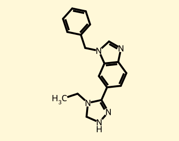 CCN1CNN=C1c1ccc2ncn(Cc3ccccc3)c2c1